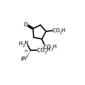 CC(C)[C@H](N)C(=O)O.O=C1CC(C(=O)O)C(C(=O)O)C1